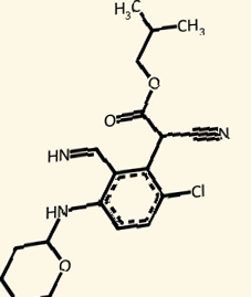 CC(C)COC(=O)C(C#N)c1c(Cl)ccc(NC2CCCCO2)c1C=N